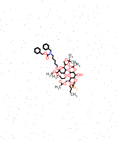 CCCCO[C@@H](COC(C)=O)C1O[C@H](O[C@H]2C([C@H]3COC(C)(C)O3)O[C@@](OCCCCCN(Cc3ccccc3)C(=O)OCc3ccccc3)(C(=O)OC)C[C@H]2OCCCC)[C@H](OC(C)=O)C(O)[C@@H]1OB=BP